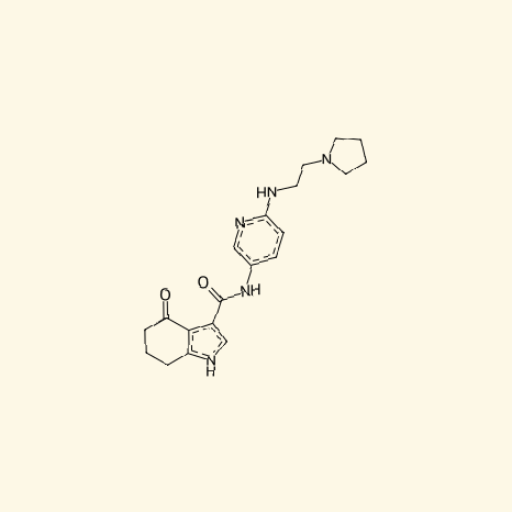 O=C(Nc1ccc(NCCN2CCCC2)nc1)c1c[nH]c2c1C(=O)CCC2